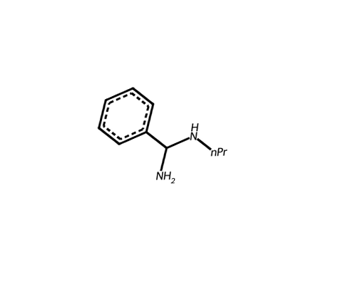 CCCNC(N)c1ccccc1